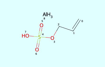 C=CCOS(=O)(=O)O.[AlH3]